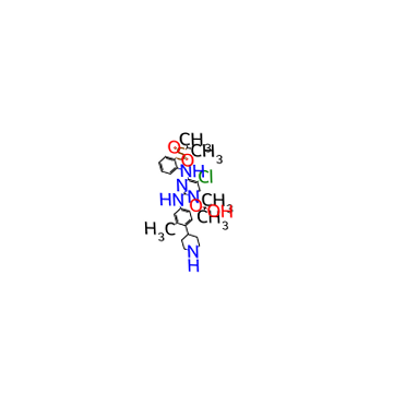 Cc1cc(Nc2ncc(Cl)c(Nc3ccccc3S(=O)(=O)C(C)C)n2)c(OC(C)(C)O)cc1C1CCNCC1